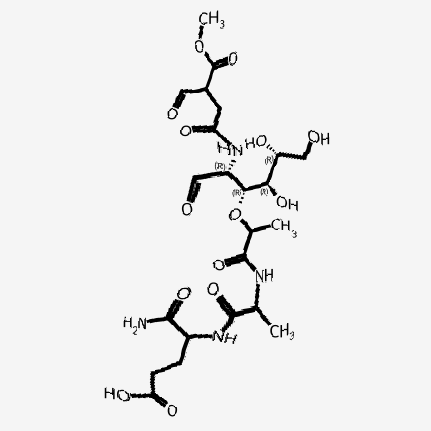 COC(=O)C(C=O)CC(=O)N[C@@H](C=O)[C@@H](OC(C)C(=O)NC(C)C(=O)NC(CCC(=O)O)C(N)=O)[C@H](O)[C@H](O)CO